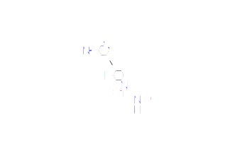 CC(=O)NC[C@H]1CN(c2ccc(C#Cc3cncc(C#N)c3)c(F)c2)C(=O)O1